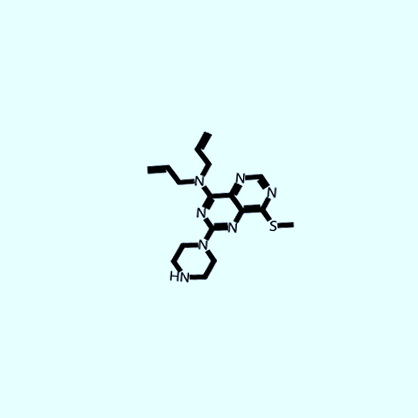 C=CCN(CC=C)c1nc(N2CCNCC2)nc2c(SC)ncnc12